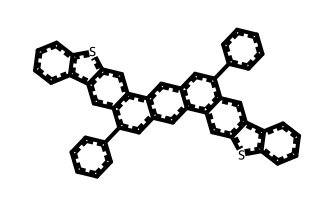 c1ccc(-c2cc3cc4c(cc(-c5ccccc5)c5cc6c(cc54)sc4ccccc46)cc3c3cc4sc5ccccc5c4cc23)cc1